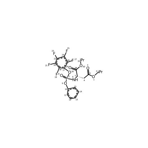 CC(C)OC(=O)C[C@H](NP(=O)(Oc1ccccc1)Oc1c(F)c(F)c(F)c(F)c1F)C(=O)OC(C)C